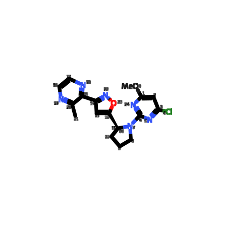 COc1cc(Cl)nc(N2CCC[C@H]2c2cc(-c3nccnc3C)no2)n1